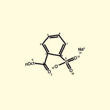 CCCCCCCCC(=O)c1ccccc1S(=O)(=O)[O-].[Na+]